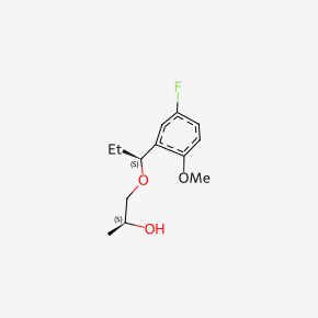 CC[C@H](OC[C@H](C)O)c1cc(F)ccc1OC